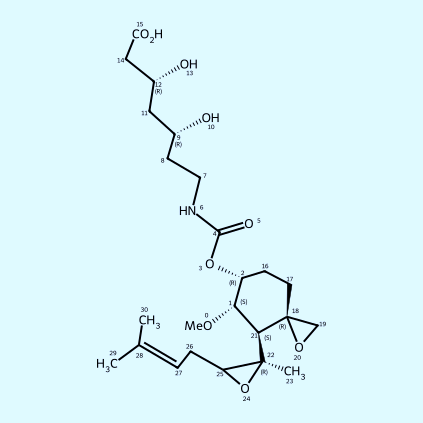 CO[C@@H]1[C@H](OC(=O)NCC[C@@H](O)C[C@@H](O)CC(=O)O)CC[C@]2(CO2)[C@H]1[C@@]1(C)OC1CC=C(C)C